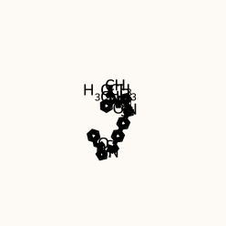 CC(C)(C)C(=O)N[C@@H](C(=O)N1CCC[C@H]1c1ncc(-c2ccc(-c3ccc(-c4cnc([C@@H]5CCCN5C(=O)Cc5ccccc5)s4)cc3)cc2)s1)c1ccccc1